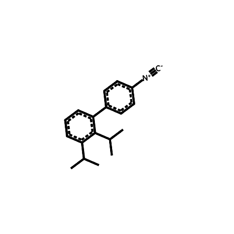 [C-]#[N+]c1ccc(-c2cccc(C(C)C)c2C(C)C)cc1